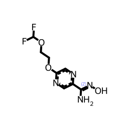 N/C(=N\O)c1cnc(OCCOC(F)F)cn1